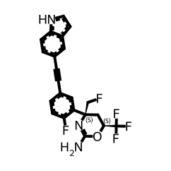 NC1=N[C@](CF)(c2cc(C#Cc3ccc4[nH]ccc4c3)ccc2F)C[C@@H](C(F)(F)F)O1